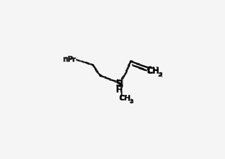 C=C[SiH](C)CCCCC